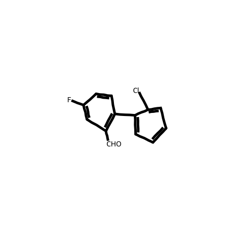 O=Cc1cc(F)ccc1-c1ccccc1Cl